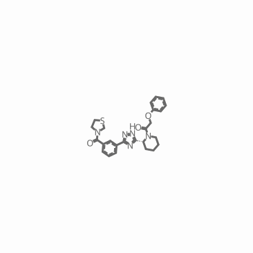 O=C(c1cccc(-c2n[nH]c([C@H]3CCCCN3C(=O)COc3ccccc3)n2)c1)N1CCSC1